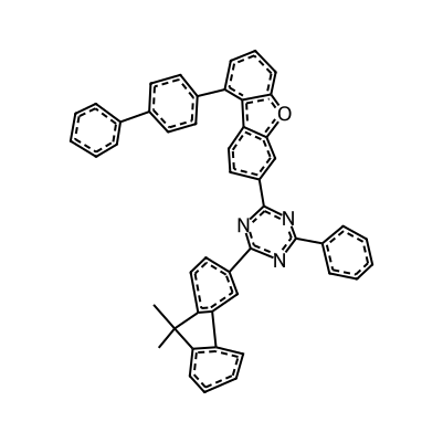 CC1(C)c2ccccc2-c2cc(-c3nc(-c4ccccc4)nc(-c4ccc5c(c4)oc4cccc(-c6ccc(-c7ccccc7)cc6)c45)n3)ccc21